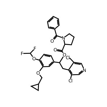 O=C(OC(Cc1c(Cl)cncc1Cl)c1ccc(OC(F)F)c(OCC2CC2)c1)C1CCCN1C(=O)c1ccccc1